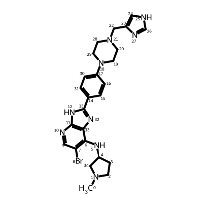 CN1CC[C@H](Nc2c(Br)cnc3[nH]c(-c4ccc(N5CCN(Cc6c[nH]cn6)CC5)cc4)nc23)C1